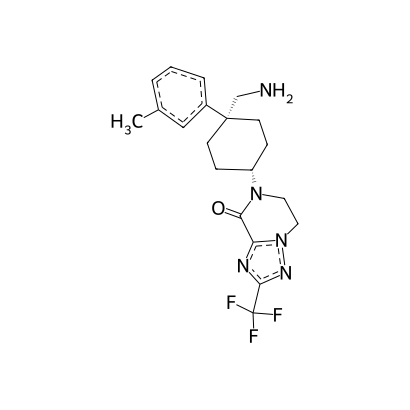 Cc1cccc([C@]2(CN)CC[C@@H](N3CCn4nc(C(F)(F)F)nc4C3=O)CC2)c1